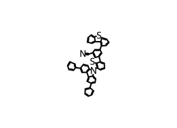 N#Cc1cc(-c2cccc3sc4ccccc4c23)cc2c1sc1c(-n3c4ccc(-c5ccccc5)cc4c4cc(-c5ccccc5)ccc43)cccc12